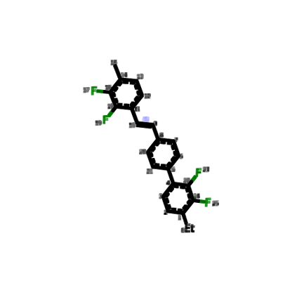 CCc1ccc(-c2ccc(/C=C/c3ccc(C)c(F)c3F)cc2)c(F)c1F